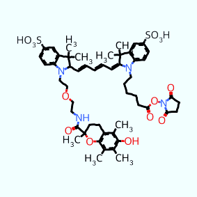 Cc1c(C)c2c(c(C)c1O)CCC(C)(C(=O)NCCOCCN1c3ccc(S(=O)(=O)O)cc3C(C)(C)C1/C=C/C=C/C=C1/N(CCCCCC(=O)ON3C(=O)CCC3=O)c3ccc(S(=O)(=O)O)cc3C1(C)C)O2